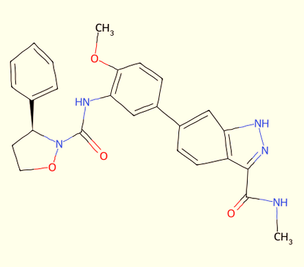 CNC(=O)c1n[nH]c2cc(-c3ccc(OC)c(NC(=O)N4OCC[C@H]4c4ccccc4)c3)ccc12